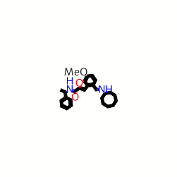 COc1ccc(CNC2CCCCCCC2)c2cc(C(=O)NC(C)c3ccccc3)oc12